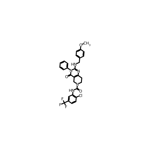 COc1ccc(CNc2nc3c(c(=O)n2-c2ccccc2)CN(C(=O)Nc2cc(C(F)(F)F)ccc2Cl)CC3)cc1